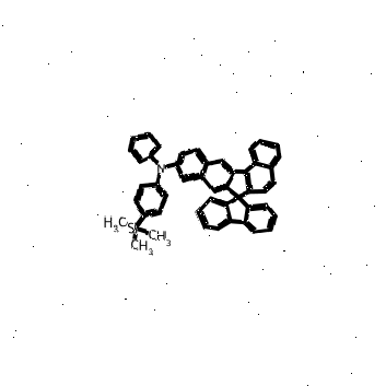 C[Si](C)(C)c1ccc(N(c2ccccc2)c2ccc3cc4c(cc3c2)C2(c3ccccc3-c3ccccc32)c2ccc3ccccc3c2-4)cc1